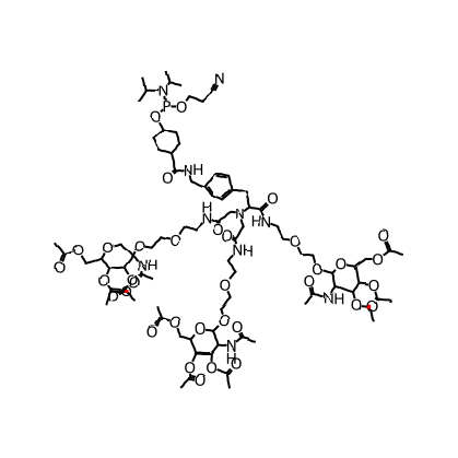 CCOC1C(NC(C)=O)C(OCCOCCNC(=O)C(Cc2ccc(CNC(=O)C3CCC(OP(OCCC#N)N(C(C)C)C(C)C)CC3)cc2)N(CC(=O)NCCOCCOC2OC(COC(C)=O)C(OC(C)=O)C(OC(C)=O)C2NC(C)=O)CC(=O)NCCOCCOC2(NC(C)=O)COC(COC(C)=O)C(OC(C)=O)C2OC(C)=O)OC(COC(C)=O)C1OC(C)=O